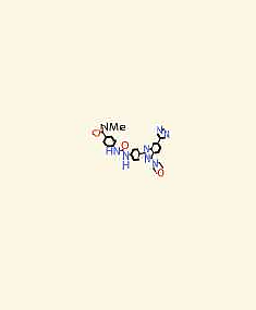 CNC(=O)c1ccc(NC(=O)Nc2ccc(-c3nc(N4CCOCC4)c4ccc(-c5cncnc5)cc4n3)cc2)cc1